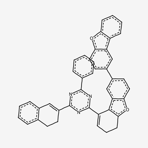 C1=C(c2nc(C3=CCCc4oc5ccc(-c6ccc7oc8ccccc8c7c6)cc5c43)nc(-c3ccccc3)n2)CCc2ccccc21